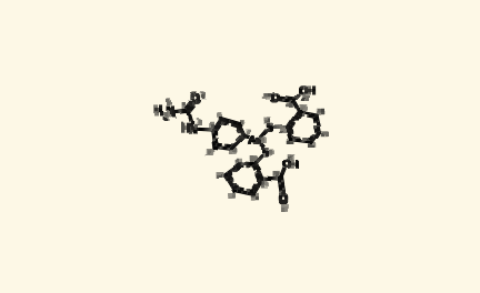 NC(=O)Nc1ccc([As](Sc2ccccc2C(=O)O)Sc2ccccc2C(=O)O)cc1